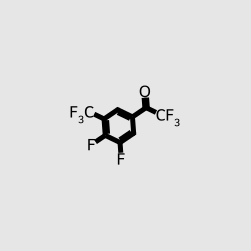 O=C(c1cc(F)c(F)c(C(F)(F)F)c1)C(F)(F)F